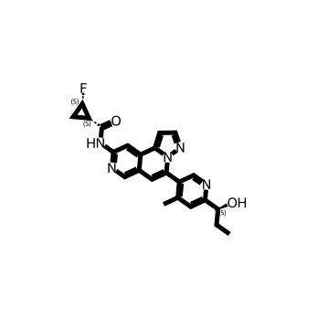 CC[C@H](O)c1cc(C)c(-c2cc3cnc(NC(=O)[C@@H]4C[C@@H]4F)cc3c3ccnn23)cn1